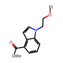 CCOCCn1ccc2c(C(=O)OC)cccc21